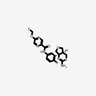 NC1=N[C@@]2(c3cc(NC(=O)c4cnc(OCF)cn4)ccc3F)COC[C@H]2CS1